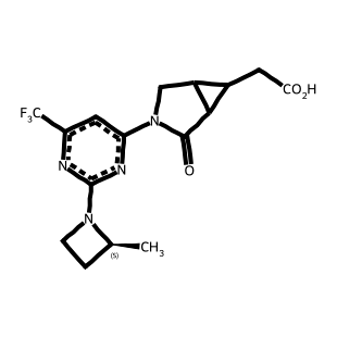 C[C@H]1CCN1c1nc(N2CC3C(CC(=O)O)C3C2=O)cc(C(F)(F)F)n1